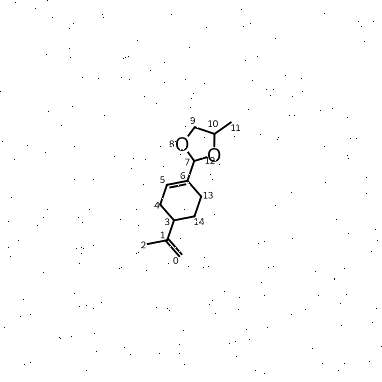 C=C(C)C1CC=C(C2OCC(C)O2)CC1